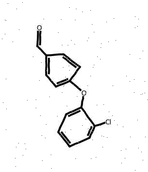 O=Cc1ccc(Oc2ccccc2Cl)cc1